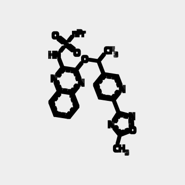 CCCS(=O)(=O)Nc1nc2ccccc2nc1OC(c1ccc(-c2noc(C)n2)nc1)C(F)(F)F